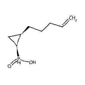 C=CCCC[C@@H]1C[C@@H]1[PH](=O)O